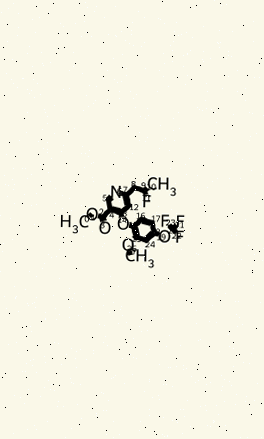 COC(=O)c1cnc(CC(C)F)cc1Oc1ccc(OC(F)(F)F)cc1OC